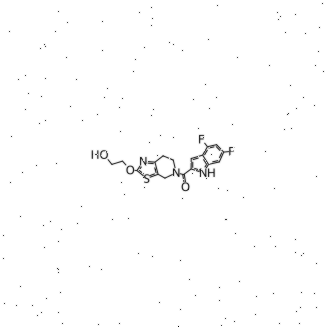 O=C(c1cc2c(F)cc(F)cc2[nH]1)N1CCc2nc(OCCO)sc2C1